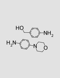 Nc1ccc(CO)cc1.Nc1ccc(N2CCOCC2)cc1